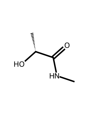 CNC(=O)[C@@H](C)O